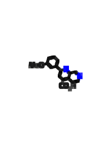 COc1cccc(-c2cc(C(=O)O)c3ccncc3n2)c1